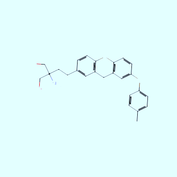 Cc1ccc(Sc2ccc3c(c2)Cc2cc(CCC(N)(CO)CO)ccc2S3)cc1.Cl